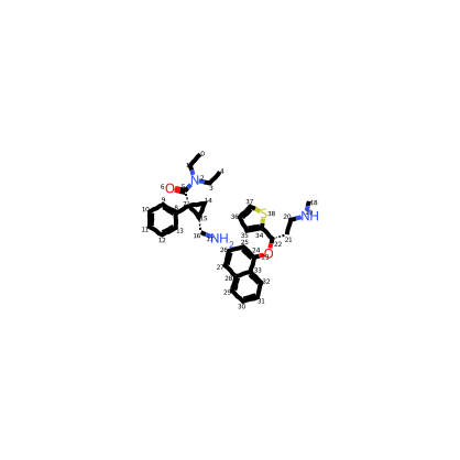 CCN(CC)C(=O)[C@]1(c2ccccc2)C[C@@H]1CN.CNCC[C@H](Oc1cccc2ccccc12)c1cccs1